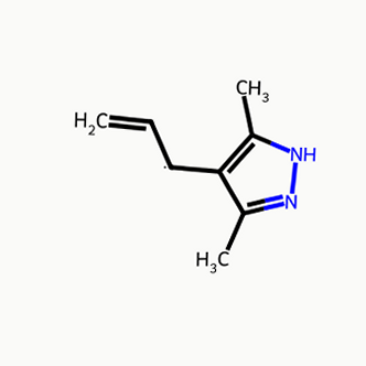 C=C[CH]c1c(C)n[nH]c1C